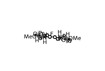 COC(=O)N[C@@H](C(C)C)C(O)N1CCC[C@H]1c1nc2ccc3c(F)c(-c4ccc5c(ccc6nc([C@@H]7CCCN7C(=O)[C@@H](NC(=O)OC)C(C)C)[nH]c65)c4)ccc3c2[nH]1